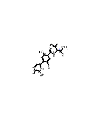 CC(=N)/C(NC(=O)c1cc(F)c(-c2cnc(C)c(O)n2)cc1O)=C(\N)Cl